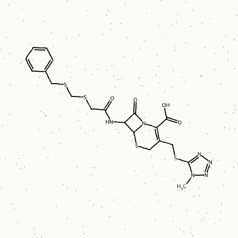 Cn1nnnc1SCC1=C(C(=O)O)N2C(=O)C(NC(=O)CSCSCc3ccccc3)C2SC1